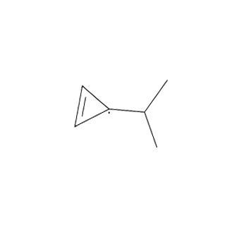 CC(C)[C]1C=C1